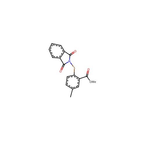 COC(=O)c1cc(C)ccc1SN1C(=O)c2ccccc2C1=O